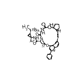 C=C[C@@H]1C[C@]1(NC(=O)[C@@H]1C[C@@H]2CN1C(=O)[C@H](CCCC)NC(=O)O[C@H]1CCC[C@@H]1/C=C\c1ccc3nc(-c4ccccc4)cc(c3c1)O2)C(C)=O